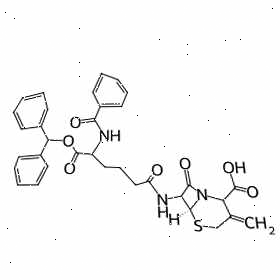 C=C1CS[C@H]2C(NC(=O)CCCC(NC(=O)c3ccccc3)C(=O)OC(c3ccccc3)c3ccccc3)C(=O)N2C1C(=O)O